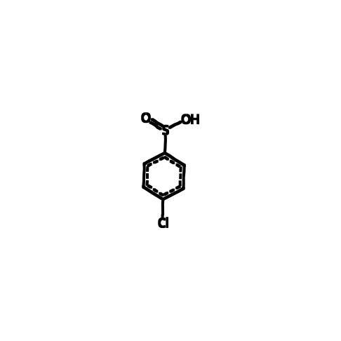 O=S(O)c1ccc(Cl)cc1